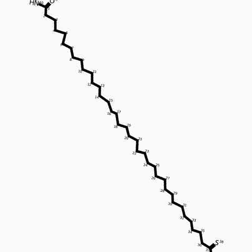 O=C(CCCCCCCCCCCCCCCCCCCCCCCCCCCCCCCCCCCC(=S)S)NO